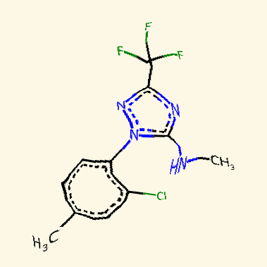 CNc1nc(C(F)(F)F)nn1-c1ccc(C)cc1Cl